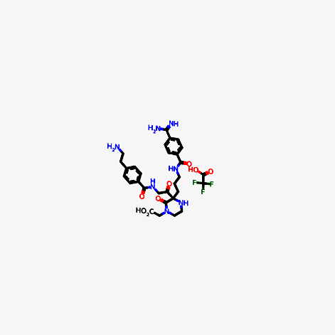 N=C(N)c1ccc(C(=O)NCCCC2(C(=O)CNC(=O)c3ccc(CCN)cc3)NCCN(CC(=O)O)C2=O)cc1.O=C(O)C(F)(F)F